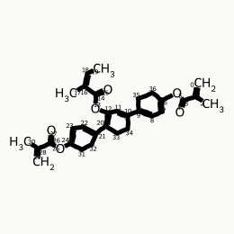 C=C(C)C(=O)OC1=CC=C(C2=CC(OC(=O)/C(C)=C\C)=C(C3=CC=C(OC(=O)C(=C)C)CC3)CC2)CC1